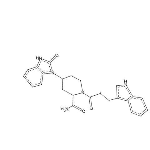 NC(=O)C1CC(n2c(=O)[nH]c3ccccc32)CCN1C(=O)[CH]Cc1c[nH]c2ccccc12